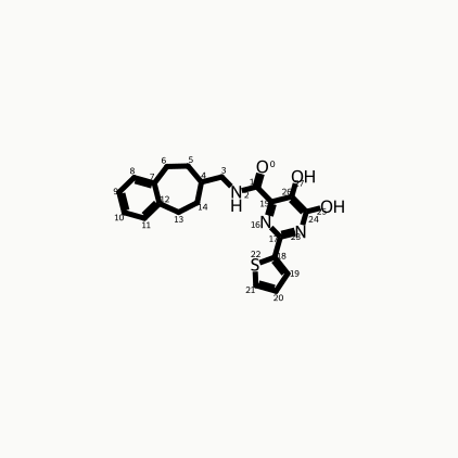 O=C(NCC1CCc2ccccc2CC1)c1nc(-c2cccs2)nc(O)c1O